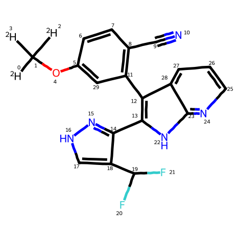 [2H]C([2H])([2H])Oc1ccc(C#N)c(-c2c(-c3n[nH]cc3C(F)F)[nH]c3ncccc23)c1